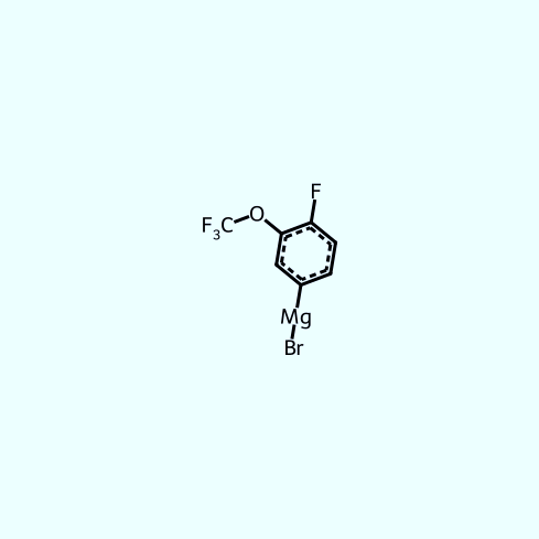 Fc1cc[c]([Mg][Br])cc1OC(F)(F)F